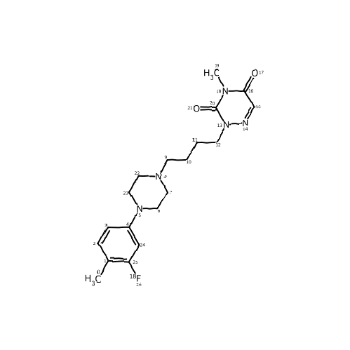 Cc1ccc(N2CCN(CCCCn3ncc(=O)n(C)c3=O)CC2)cc1[18F]